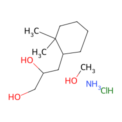 CC1(C)CCCCC1CC(O)CO.CO.Cl.N